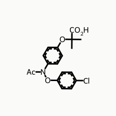 CC(=O)N(Oc1ccc(Cl)cc1)c1ccc(OC(C)(C)C(=O)O)cc1